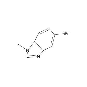 CC(C)C1=CC2N=CN(C)C2C=C1